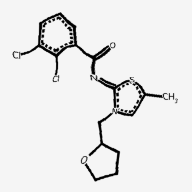 Cc1cn(CC2CCCO2)/c(=N/C(=O)c2cccc(Cl)c2Cl)s1